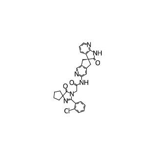 O=C(CN1C(=O)C2(CCCC2)N=C1c1ccccc1Cl)Nc1cc2c(cn1)C[C@]1(C2)C(=O)Nc2ncccc21